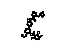 CC(Oc1nc(-c2ccc(NC(=O)N3CCC[C@@H]3CN3CCCC3)cc2)cnc1N)c1c(F)ccc(F)c1Cl